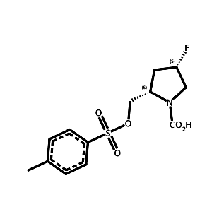 Cc1ccc(S(=O)(=O)OC[C@@H]2C[C@H](F)CN2C(=O)O)cc1